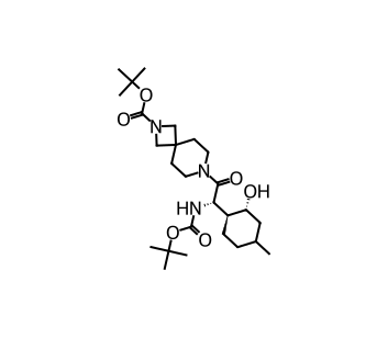 CC1CC[C@@H]([C@H](NC(=O)OC(C)(C)C)C(=O)N2CCC3(CC2)CN(C(=O)OC(C)(C)C)C3)[C@H](O)C1